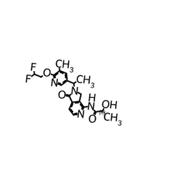 Cc1cc(C(C)N2Cc3c(ccnc3NC(=O)[C@@H](C)O)C2=O)cnc1OCC(F)F